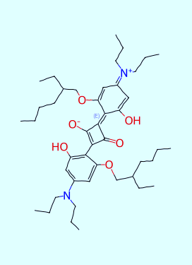 CCCCC(CC)COC1=CC(=[N+](CCC)CCC)C=C(O)/C1=C1\C(=O)C(c2c(O)cc(N(CCC)CCC)cc2OCC(CC)CCCC)=C1[O-]